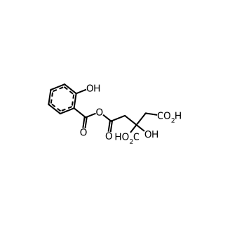 O=C(O)CC(O)(CC(=O)OC(=O)c1ccccc1O)C(=O)O